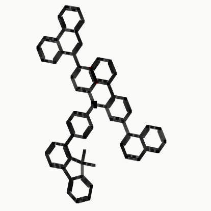 CC1(C)c2ccccc2-c2cccc(-c3ccc(N(c4ccc(-c5cc6ccccc6c6ccccc56)cc4)c4cc(-c5cccc6ccccc56)ccc4-c4ccccc4)cc3)c21